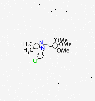 COc1cc(CCc2nc3cc(C)c(C)cc3n2Cc2ccc(Cl)cc2)cc(OC)c1OC